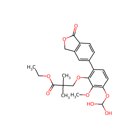 CCOC(=O)C(C)(C)COc1c(-c2ccc3c(c2)COC3=O)ccc(OC(O)O)c1OC